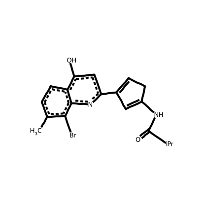 Cc1ccc2c(O)cc(C3=CCC(NC(=O)C(C)C)=C3)nc2c1Br